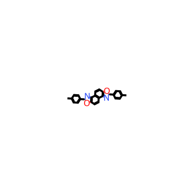 Cc1ccc(-c2nc3c(ccc4c3ccc3oc(-c5ccc(C)cc5)nc34)o2)cc1